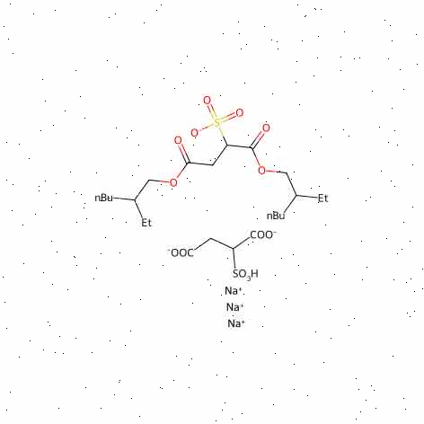 CCCCC(CC)COC(=O)CC(C(=O)OCC(CC)CCCC)S(=O)(=O)[O-].O=C([O-])CC(C(=O)[O-])S(=O)(=O)O.[Na+].[Na+].[Na+]